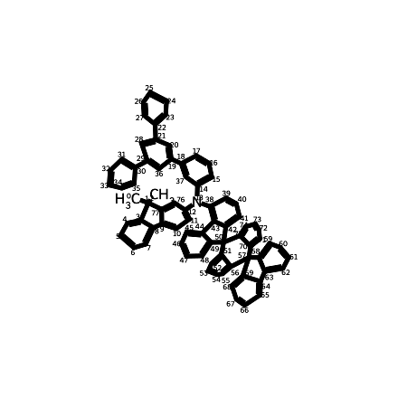 CC1(C)c2ccccc2-c2ccc(N(c3cccc(-c4cc(-c5ccccc5)cc(-c5ccccc5)c4)c3)c3cccc4c3-c3ccccc3C43c4ccccc4C4(c5ccccc5-c5ccccc54)c4ccccc43)cc21